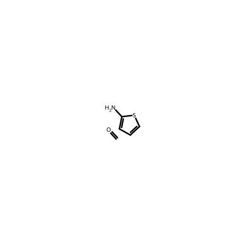 C=O.Nc1cccs1